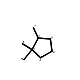 [CH2]C1(C)CCCC1C